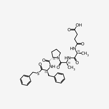 C[C@H](NC(=O)CCC(=O)O)C(=O)N[C@@H](C)C(=O)N1CCC[C@H]1C(=O)N[C@@H](Cc1ccccc1)C(=O)SCc1ccccc1